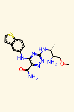 COC[C@H](N)[C@@H](C)Nc1nnc(C(N)=O)c(Nc2ccc3sccc3c2)n1